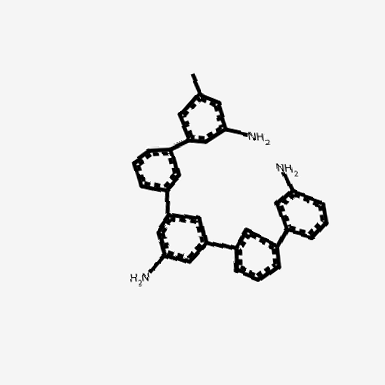 Cc1cc(N)cc(-c2cccc(-c3cc(N)cc(-c4cccc(-c5cccc(N)c5)c4)c3)c2)c1